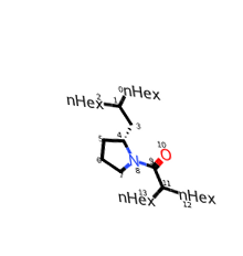 CCCCCCC(CCCCCC)C[C@H]1CCCN1C(=O)C(CCCCCC)CCCCCC